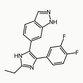 CCc1nc(-c2ccc(F)c(F)c2)c(-c2ccc3cn[nH]c3c2)[nH]1